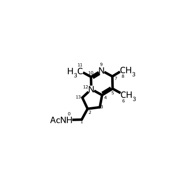 CC(=O)NCC1CC2=C(C)C(C)N=C(C)N2C1